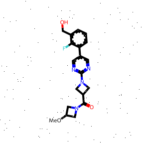 COC1CN(C(=O)C2CN(c3ncc(-c4cccc(CO)c4F)cn3)C2)C1